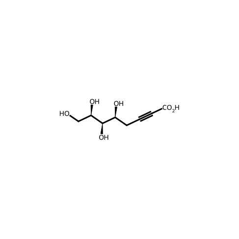 O=C(O)C#CC[C@H](O)[C@@H](O)[C@H](O)CO